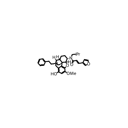 COc1cc(O)c2c3c1O[C@H]1[C@@H](N(CC(C)C)C(=O)/C=C/c4ccoc4)CC[C@H]4[C@@H](C2)N(CCc2ccccc2)CC[C@@]341